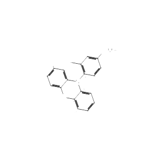 COc1ccc(N2c3ccccc3Oc3ccccc32)c(Cl)c1